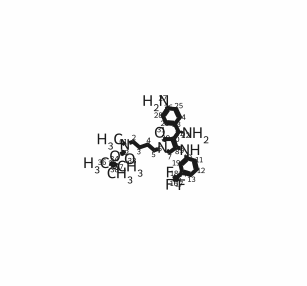 CN(CCCCN1CC(Nc2cccc(C(F)(F)F)c2)=C([C@H](N)c2ccc(N)cc2)C1=O)C(=O)OC(C)(C)C